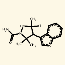 CC1(Cl)NN(C(N)=O)C(C)(C)C1c1csc2ccccc12